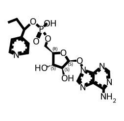 CCC(OP(=O)(O)OC[C@H]1O[C@@H](On2cnc3c(N)ncnc32)[C@@H](O)[C@@H]1O)c1ccncc1